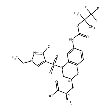 CCn1cc(S(=O)(=O)N2C[C@H](C[C@@H](C)C(=O)O)Oc3ccc(NC(=O)OC(C)(C)C(F)(F)F)cc32)c(Cl)n1